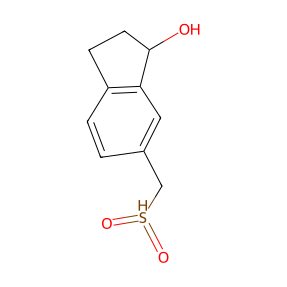 O=[SH](=O)Cc1ccc2c(c1)C(O)CC2